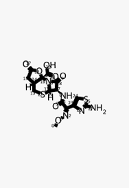 CO/N=C(\C(=O)N[C@@H]1C(=O)N2[C@@H]1SC[C@@H]1CC(=O)O[C@@]12C(=O)O)c1csc(N)n1